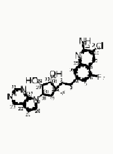 C[C@]1(CCc2cc(F)c3cc(Cl)c(N)nc3c2)C[C@@H](n2ccc3cncnc32)[C@H](O)[C@@H]1O